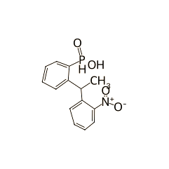 CC(c1ccccc1[N+](=O)[O-])c1ccccc1[PH](=O)O